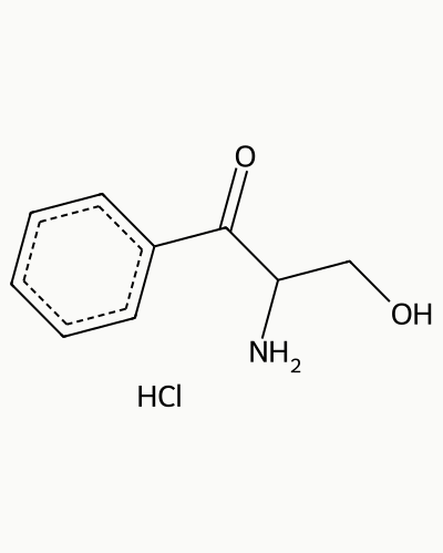 Cl.NC(CO)C(=O)c1ccccc1